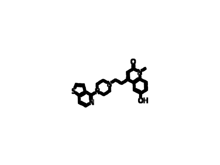 Cn1c(=O)cc(CCN2CCN(c3nccc4sccc34)CC2)c2cc(O)ccc21